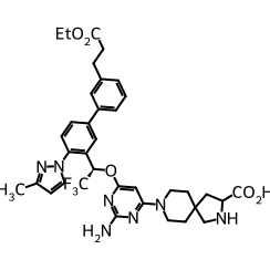 CCOC(=O)CCc1cccc(-c2ccc(-n3ccc(C)n3)c([C@@H](Oc3cc(N4CCC5(CC4)CNC(C(=O)O)C5)nc(N)n3)C(F)(F)F)c2)c1